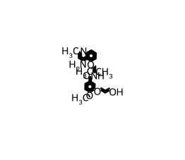 COc1ccc(C(=O)NC(C)(C)COc2cccc3nc(C)cc(N)c23)cc1OCCCO